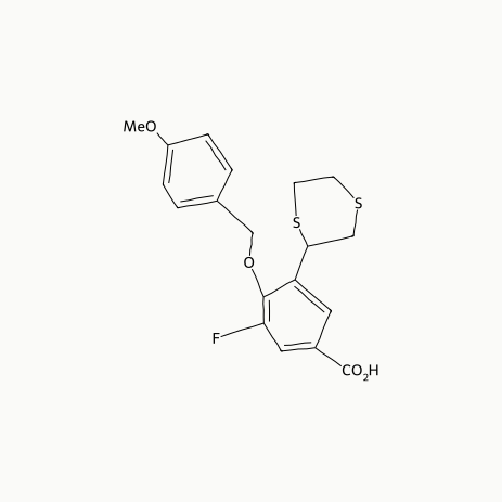 COc1ccc(COc2c(F)cc(C(=O)O)cc2C2CSCCS2)cc1